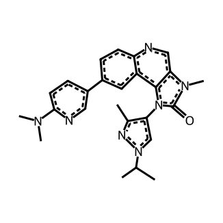 Cc1nn(C(C)C)cc1-n1c(=O)n(C)c2cnc3ccc(-c4ccc(N(C)C)nc4)cc3c21